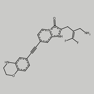 NCC(Cn1[nH]c2cc(C#Cc3ccc4c(c3)NCCO4)cc[n+]2c1=O)=C(F)F